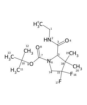 CCNC(=O)C1N(C(=O)OC(C)(C)C)CC(F)(F)C1(C)C